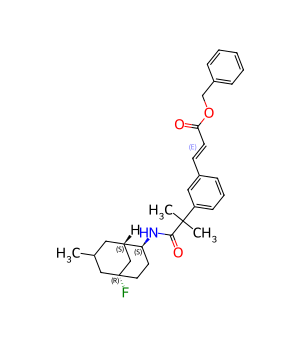 CC1C[C@H]2C[C@@](F)(CC[C@@H]2NC(=O)C(C)(C)c2cccc(/C=C/C(=O)OCc3ccccc3)c2)C1